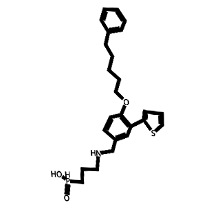 O=[PH](O)CCCNCc1ccc(OCCCCCc2ccccc2)c(-c2cccs2)c1